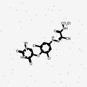 CCOC(=O)NC(=O)/C(C#N)=N\Nc1cc(Cl)c(Oc2cn(C(C)C)c(=O)[nH]c2=O)c(Cl)c1